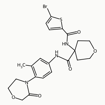 Cc1cc(NC(=O)C2(NC(=O)c3ccc(Br)s3)CCOCC2)ccc1N1CCOCC1=O